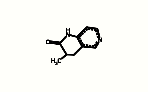 CC1Cc2cnccc2NC1=O